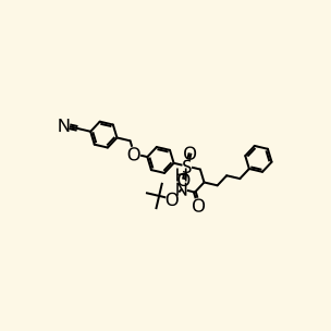 CC(C)(C)ONC(=O)C(CCCc1ccccc1)CS(=O)(=O)c1ccc(OCc2ccc(C#N)cc2)cc1